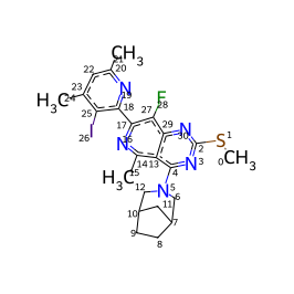 CSc1nc(N2CC3CCC(C3)C2)c2c(C)nc(-c3nc(C)cc(C)c3I)c(F)c2n1